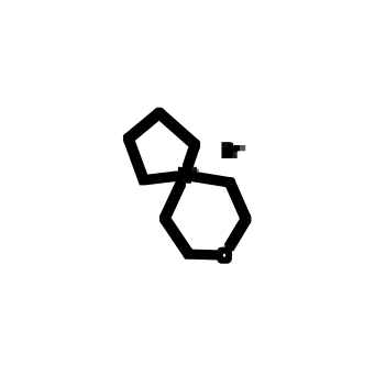 C1CC[N+]2(C1)CCOCC2.[Br-]